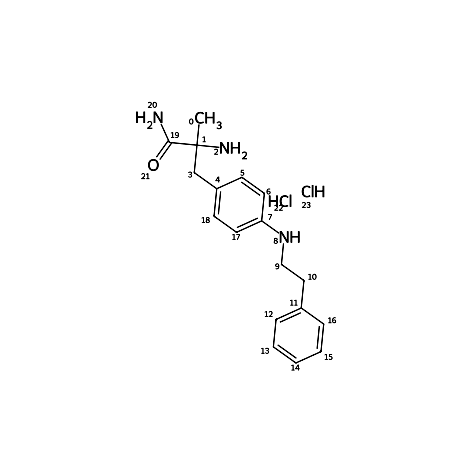 CC(N)(Cc1ccc(NCCc2ccccc2)cc1)C(N)=O.Cl.Cl